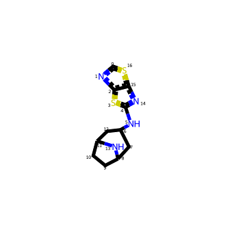 c1nc2sc(NC3CC4CCC(C3)N4)nc2s1